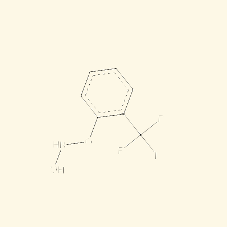 OBOc1ccccc1C(F)(F)F